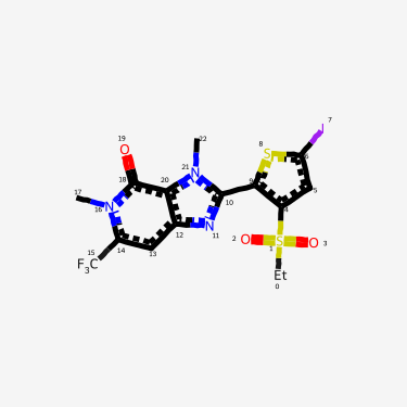 CCS(=O)(=O)c1cc(I)sc1-c1nc2cc(C(F)(F)F)n(C)c(=O)c2n1C